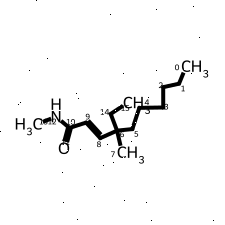 CCCCCCC(C)(/C=C/C(=O)NC)CC